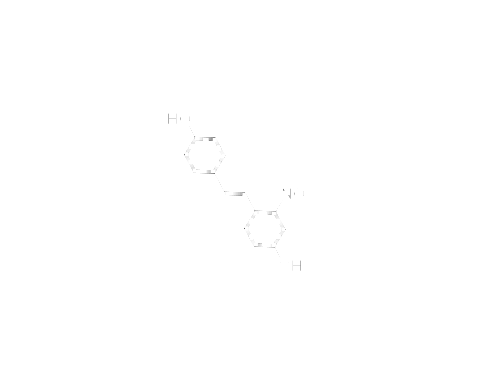 O=[N+]([O-])c1cc(O)ccc1C=Cc1ccc(O)cc1